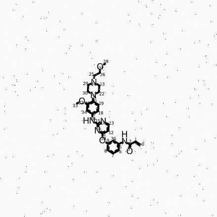 C=CC(=O)Nc1cccc(Oc2ccnc(Nc3ccc(N4CCN(CCOC)CC4)c(OC)c3)n2)c1